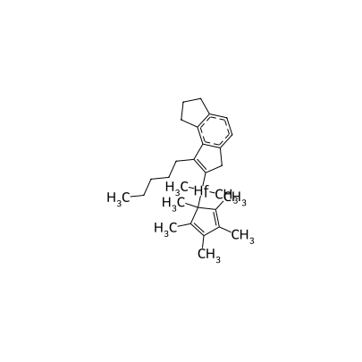 CCCCCC1=[C]([Hf]([CH3])([CH3])[C]2(C)C(C)=C(C)C(C)=C2C)Cc2ccc3c(c21)CCC3